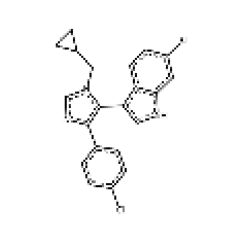 Clc1ccc(-c2ncn(CC3CC3)c2-c2c[nH]c3cc(Cl)ccc23)cc1